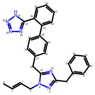 CC=CCn1nc(Cc2ccccc2)nc1Cc1ccc(-c2ccccc2-c2nnn[nH]2)cc1